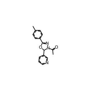 CC(=O)N1N=C(c2ccc(C)cc2)OC1c1cccnc1